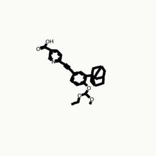 CCOC(OC)Oc1ccc(C#Cc2ccc(C(=O)O)cn2)cc1C12CC3CC(CC(C3)C1)C2